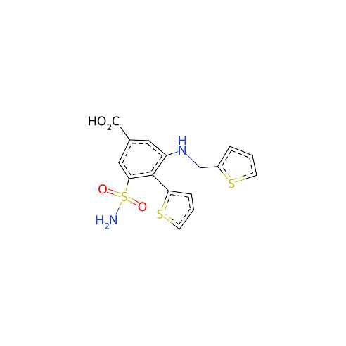 NS(=O)(=O)c1cc(C(=O)O)cc(NCc2cccs2)c1-c1cccs1